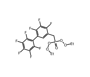 CCOOP(=O)(Cc1cc(-c2c(F)c(F)c(F)c(F)c2F)c(F)c(F)c1F)OOCC